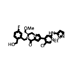 CCn1nccc1Nc1cc(-c2cc3n(c2)C[C@H](COC)N(Cc2cc(F)ccc2CO)C3=O)c(Cl)cn1